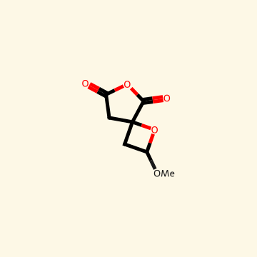 COC1CC2(CC(=O)OC2=O)O1